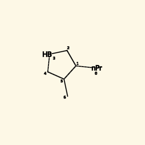 CCCC1CBCC1C